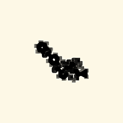 CC(C)(C)[C@H](N/C=C(\N)C1CC1)C(=O)N1CCC[C@H]1C(=O)N[C@H]1CC[C@H](c2nc3ccccc3o2)CC1